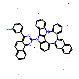 Fc1cccc(-c2nc(-n3c4cccc5c6cc7ccccc7cc6c6ccccc6n6c7ccccc7c3c6c54)nc3c2ccc2ccccc23)c1